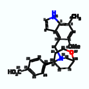 COc1cc(C)c2[nH]ccc2c1CN1CC2CC[C@]1(c1ccc(C(=O)O)cc1)CCO2